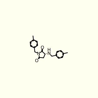 Cc1ccc(CN[C@@H]2CC(=O)N(Cc3ccc(C)cc3)C2=O)cc1